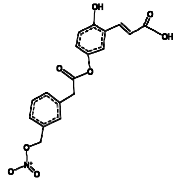 O=C(O)C=Cc1cc(OC(=O)Cc2cccc(CO[N+](=O)[O-])c2)ccc1O